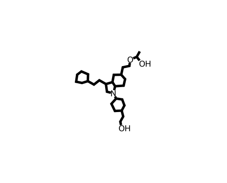 CC(O)OCCC1CCC2C(C1)C(CCC1CCCCC1)CN2C1CCC(CCO)CC1